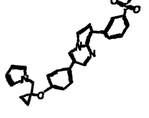 CS(=O)(=O)c1cccc(-c2ccn3cc(-c4ccc(OC5(Cn6cccc6)CC5)cc4)cnc23)c1